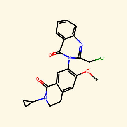 CC(C)Oc1cc2c(cc1-n1c(CCl)nc3ccccc3c1=O)C(=O)N(C1CC1)CC2